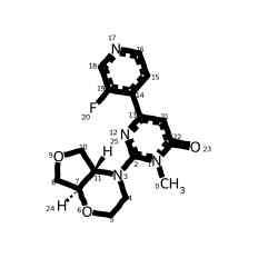 Cn1c(N2CCO[C@H]3COC[C@@H]32)nc(-c2ccncc2F)cc1=O